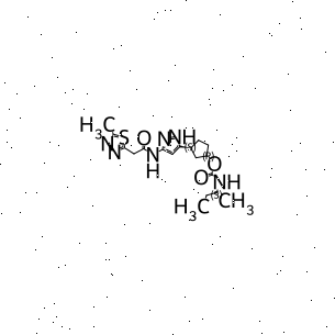 CC[C@H](C)NC(=O)O[C@@H]1CC[C@H](c2cc(NC(=O)Cc3nnc(C)s3)n[nH]2)C1